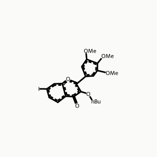 CCCCOc1c(-c2cc(OC)c(OC)c(OC)c2)oc2cc(I)ccc2c1=O